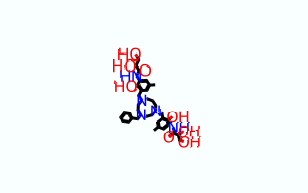 Cc1cc(CN2CCCN(Cc3cc(C)cc(NC(=O)C(O)CO)c3O)CCN(Cc3ccccc3)CC2)c(O)c(NC(=O)C(O)CO)c1